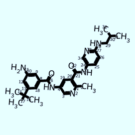 Cc1ncc(NC(=O)c2cc(N)cc(C(C)(C)C)c2)cc1C(=O)Nc1ccc(NCC(C)C)nc1